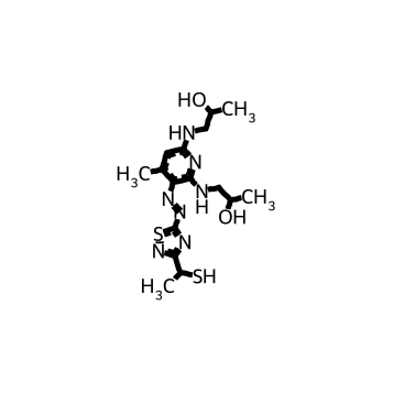 Cc1cc(NCC(C)O)nc(NCC(C)O)c1N=Nc1nc(C(C)S)ns1